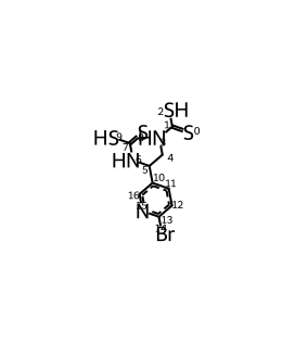 S=C(S)NCC(NC(=S)S)c1ccc(Br)nc1